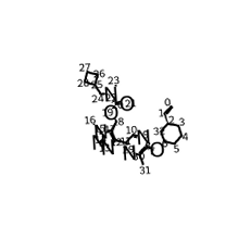 C=C[C@H]1CCC[C@H](Oc2ncc(-c3nnn(C)c3COC(=O)N(C)CC3CCC3)nc2C)C1